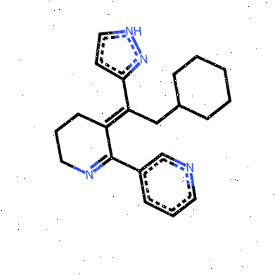 c1cncc(C2=NCCCC2=C(CC2CCCCC2)c2cc[nH]n2)c1